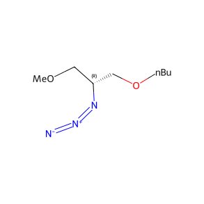 CCCCOC[C@@H](COC)N=[N+]=[N-]